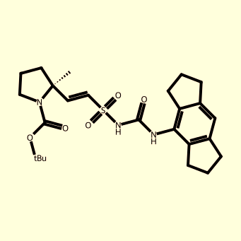 CC(C)(C)OC(=O)N1CCC[C@@]1(C)/C=C/S(=O)(=O)NC(=O)Nc1c2c(cc3c1CCC3)CCC2